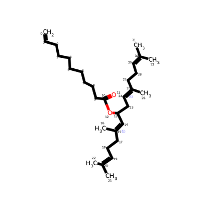 C=CCCCCCCCCC(=O)OC(/C=C(\C)CCC=C(C)C)C/C=C(\C)CCC=C(C)C